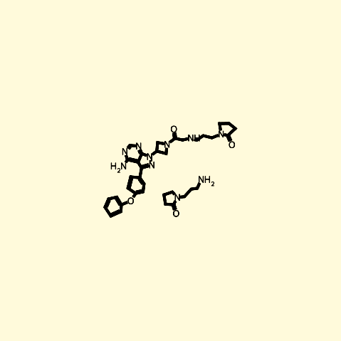 NCCCN1CCCC1=O.Nc1ncnc2c1c(-c1ccc(Oc3ccccc3)cc1)nn2C1CN(C(=O)CNCCCN2CCCC2=O)C1